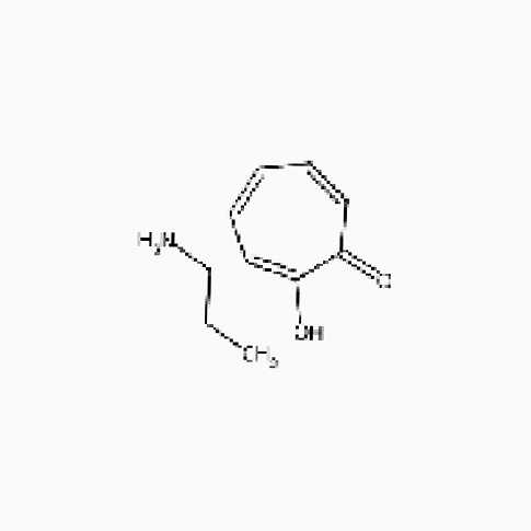 CCCN.O=c1cccccc1O